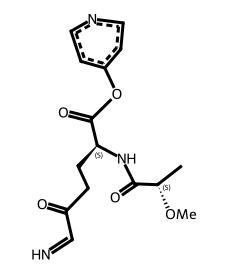 CO[C@@H](C)C(=O)N[C@@H](CCC(=O)C=N)C(=O)Oc1ccncc1